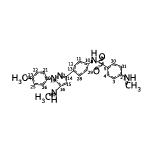 CNc1ccc(S(=O)(=O)Nc2ccc(-c3cc(NC)n(-c4ccc(C)cc4)n3)cc2)cc1